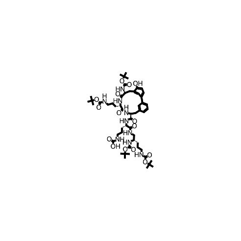 CC(C)(C)OC(=O)NCCC[C@@H](CNC(=O)[C@H](CCCNC(=O)O)NC(=O)[C@@H]1Cc2cccc(c2)-c2ccc(O)c(c2)C[C@H](NC(=O)OC(C)(C)C)C(=O)N[C@@H](CCCNC(=O)OC(C)(C)C)C(=O)N1)NC(=O)OC(C)(C)C